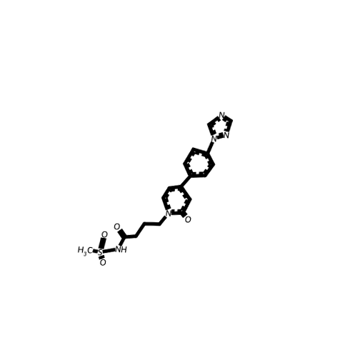 CS(=O)(=O)NC(=O)CCCn1ccc(-c2ccc(-n3cncn3)cc2)cc1=O